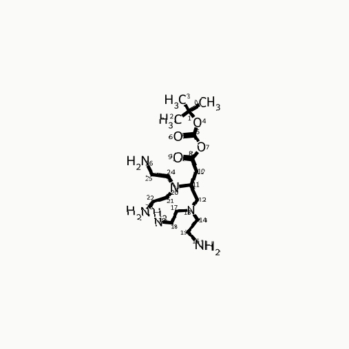 CC(C)(C)OC(=O)OC(=O)CC(CN(CCN)CCN)N(CCN)CCN